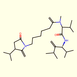 C=C(C(C)C)[C@@H](NC(=O)C(C(C)C)N(C)C(=C)CCCCCN1C(=C)C(C(C)C)CC1=O)C(C)C